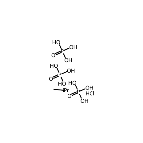 CC(C)C.Cl.O=P(O)(O)O.O=P(O)(O)O.O=P(O)(O)O